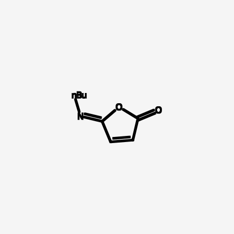 CCCC/N=C1/C=CC(=O)O1